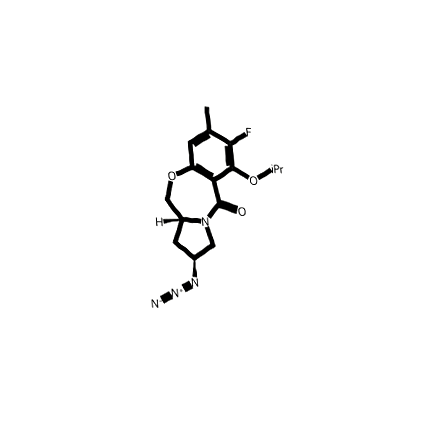 Cc1cc2c(c(OC(C)C)c1F)C(=O)N1C[C@@H](N=[N+]=[N-])C[C@@H]1CO2